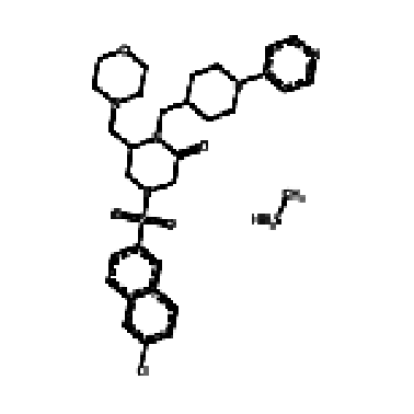 CS(=O)(=O)O.O=C1CN(S(=O)(=O)c2ccc3cc(Cl)ccc3c2)CC(CN2CCOCC2)N1CC1CCN(c2ccncc2)CC1